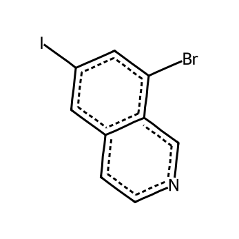 Brc1cc(I)cc2ccncc12